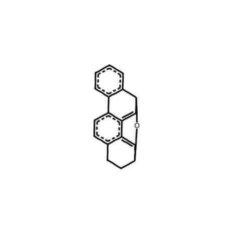 C1=c2c3ccc4c2=CC(OC1CC3)c1ccccc1-4